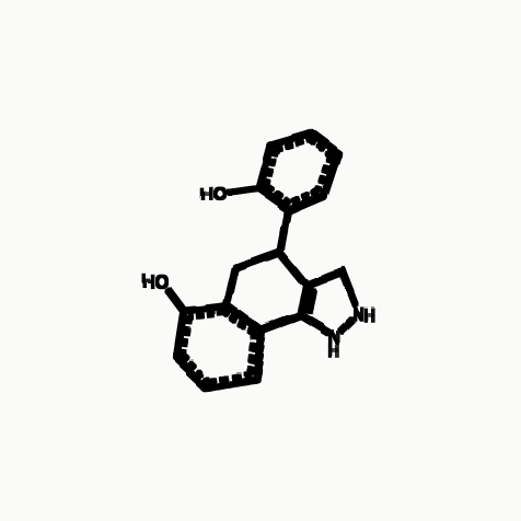 Oc1ccccc1C1Cc2c(O)cccc2C2=C1CNN2